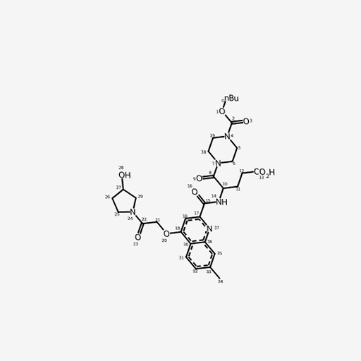 CCCCOC(=O)N1CCN(C(=O)C(CCC(=O)O)NC(=O)c2cc(OCC(=O)N3CCC(O)C3)c3ccc(C)cc3n2)CC1